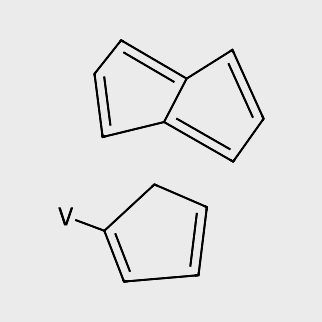 C1=CC2=CC=CC2=C1.[V][C]1=CC=CC1